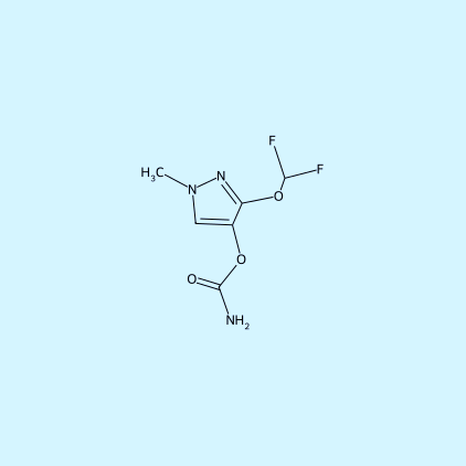 Cn1cc(OC(N)=O)c(OC(F)F)n1